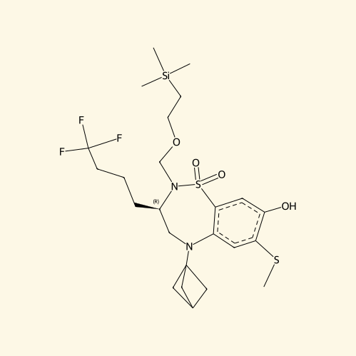 CSc1cc2c(cc1O)S(=O)(=O)N(COCC[Si](C)(C)C)[C@H](CCCC(F)(F)F)CN2C12CC(C1)C2